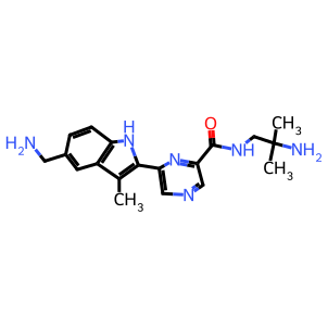 Cc1c(-c2cncc(C(=O)NCC(C)(C)N)n2)[nH]c2ccc(CN)cc12